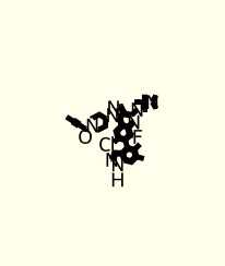 CC#CC(=O)N1CCC(n2ncc3c(N4CC(C)(N(C)C)C4)nc4c(F)c(-c5c(C)c(C)cc6[nH]ncc56)c(Cl)cc4c32)CC1